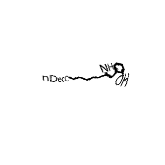 CCCCCCCCCCCCCCCCCC(N)Cc1ccccc1O